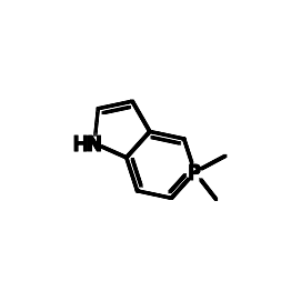 CP1(C)=CC=c2[nH]ccc2=C1